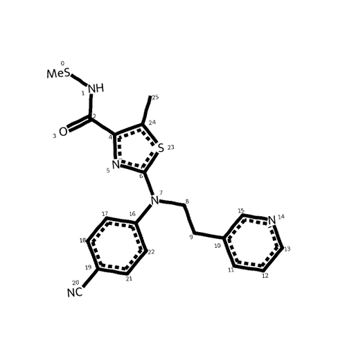 CSNC(=O)c1nc(N(CCc2cccnc2)c2ccc(C#N)cc2)sc1C